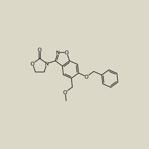 COCc1cc2c(N3CCOC3=O)noc2cc1OCc1ccccc1